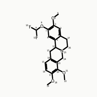 COc1cc2c(cc1OC(F)F)C1Cc3ccc(OC)c(OC)c3CN1CC2